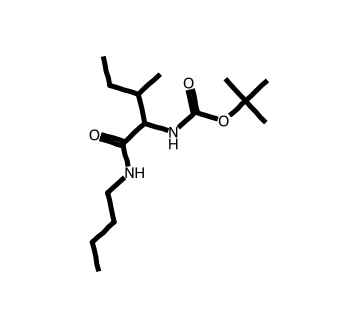 CCCCNC(=O)C(NC(=O)OC(C)(C)C)C(C)CC